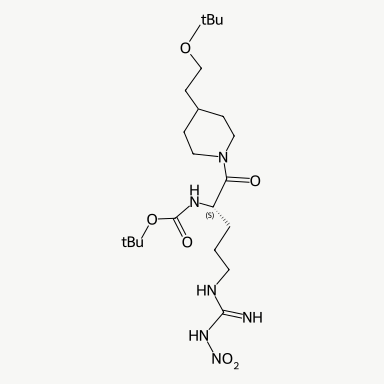 CC(C)(C)OCCC1CCN(C(=O)[C@H](CCCNC(=N)N[N+](=O)[O-])NC(=O)OC(C)(C)C)CC1